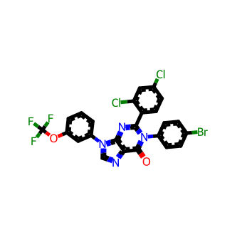 O=c1c2ncn(-c3cccc(OC(F)(F)F)c3)c2nc(-c2ccc(Cl)cc2Cl)n1-c1ccc(Br)cc1